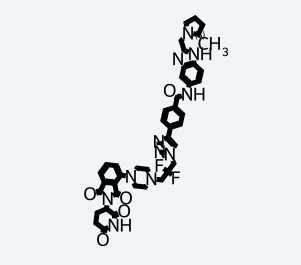 C[C@H]1CCCN1Cc1nc2cc(NC(=O)c3ccc(-c4cn(CC(F)(F)CN5CCN(c6cccc7c6C(=O)N(C6CCC(=O)NC6=O)C7=O)CC5)nn4)cc3)ccc2[nH]1